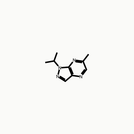 Cc1cnc2cnn(C(C)C)c2n1